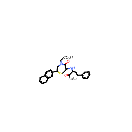 CC(C)COC(=O)C(CCc1ccccc1)NC1CSC(c2ccc3ccccc3c2)CN(CC(=O)O)C1=O